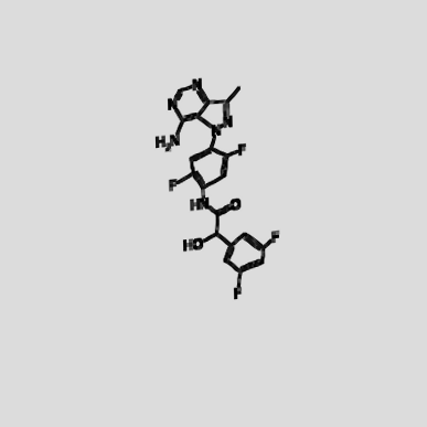 Cc1nn(-c2cc(F)c(NC(=O)C(O)c3cc(F)cc(F)c3)cc2F)c2c(N)ncnc12